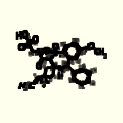 CCCC[C@@]1(CC)N[C@H](c2ccccc2)c2cc(OC)ccc2S(=O)(=O)C1C(=O)NCS(=O)(=O)O